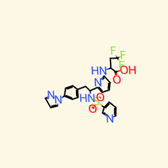 O=C(O)C(CC(F)(F)F)Nc1cccc(C(Cc2ccc(-n3cccn3)cc2)NS(=O)(=O)c2cccnc2)n1